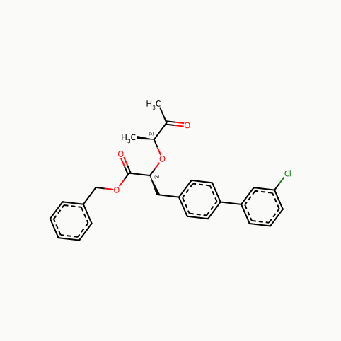 CC(=O)[C@H](C)O[C@@H](Cc1ccc(-c2cccc(Cl)c2)cc1)C(=O)OCc1ccccc1